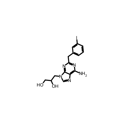 Nc1nc(Cc2cccc(I)c2)nc2c1ncn2CC(O)CO